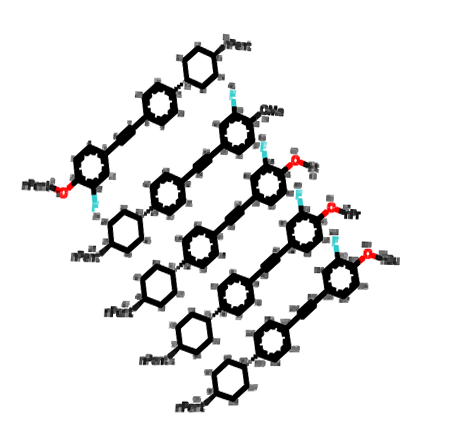 CCCCCOc1ccc(C#Cc2ccc([C@H]3CC[C@H](CCCCC)CC3)cc2)cc1F.CCCCC[C@H]1CC[C@H](c2ccc(C#Cc3ccc(OC)c(F)c3)cc2)CC1.CCCCC[C@H]1CC[C@H](c2ccc(C#Cc3ccc(OCC)c(F)c3)cc2)CC1.CCCCC[C@H]1CC[C@H](c2ccc(C#Cc3ccc(OCCC)c(F)c3)cc2)CC1.CCCCC[C@H]1CC[C@H](c2ccc(C#Cc3ccc(OCCCC)c(F)c3)cc2)CC1